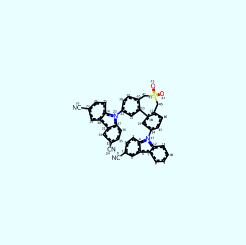 N#Cc1ccc2c(c1)c1ccccc1n2-c1ccc2c(c1)-c1cc(-n3c4ccc(C#N)cc4c4cc(C#N)ccc43)ccc1CS(=O)(=O)C2